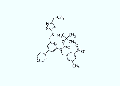 CCc1nnc(SCc2cc(N3CCOCC3)cc(N(Cc3cc(C)cc([N+](=O)[O-])c3)C(=O)OC(C)(C)C)n2)s1